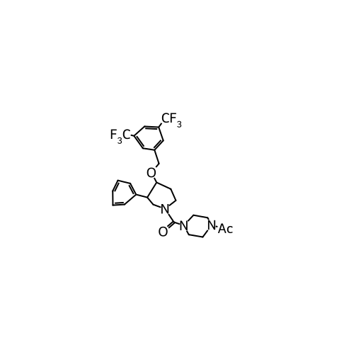 CC(=O)N1CCN(C(=O)N2CCC(OCc3cc(C(F)(F)F)cc(C(F)(F)F)c3)C(c3ccccc3)C2)CC1